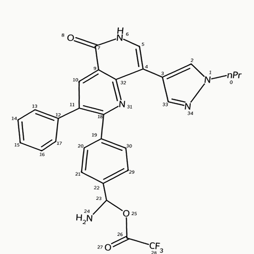 CCCn1cc(-c2c[nH]c(=O)c3cc(-c4ccccc4)c(-c4ccc(C(N)OC(=O)C(F)(F)F)cc4)nc23)cn1